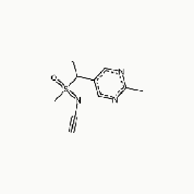 C#CN=S(C)(=O)C(C)c1cnc(C)nc1